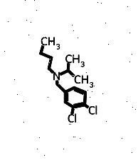 CCCCN(Cc1ccc(Cl)c(Cl)c1)C(C)C